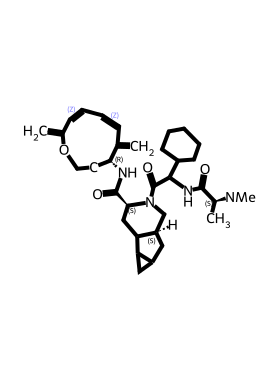 C=C1/C=C\C=C/C(=C)[C@H](NC(=O)[C@@H]2CC3C4CC4C[C@@H]3CN2C(=O)C(NC(=O)[C@H](C)NC)C2CCCCC2)CCO1